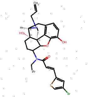 C=CCN1CC[C@]23c4c5ccc(O)c4OC2C(N(CC(C)C)C(=O)/C=C/c2cc(Br)cs2)CC[C@@]3(O)[C@H]1C5